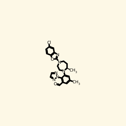 Cc1cc(C=O)c(-n2nccn2)c(N2CCN(c3nc4cc(Cl)ccc4o3)CC[C@H]2C)c1